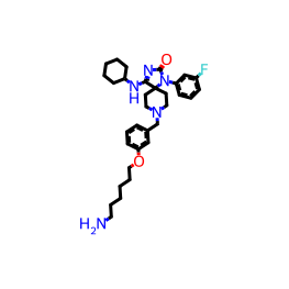 NCCCCCCOc1cccc(CN2CCC3(CC2)C(NC2CCCCC2)=NC(=O)N3c2cccc(F)c2)c1